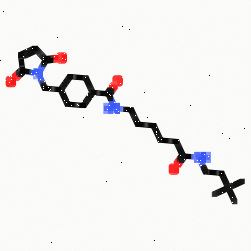 CC(C)(C)CCNC(=O)CCCCCNC(=O)C1CCC(CN2C(=O)C=CC2=O)CC1